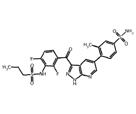 CCCS(=O)(=O)Nc1c(F)ccc(C(=O)c2n[nH]c3ncc(-c4ccc(S(N)(=O)=O)cc4C)cc23)c1F